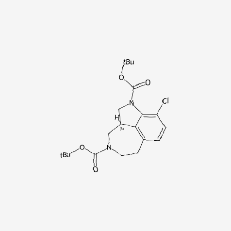 CC(C)(C)OC(=O)N1CCc2ccc(Cl)c3c2[C@@H](C1)CN3C(=O)OC(C)(C)C